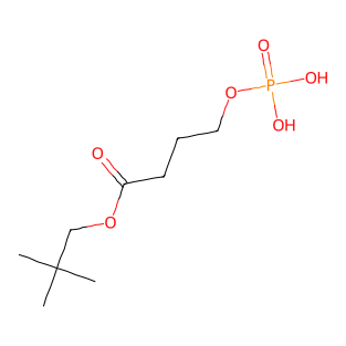 CC(C)(C)COC(=O)CCCOP(=O)(O)O